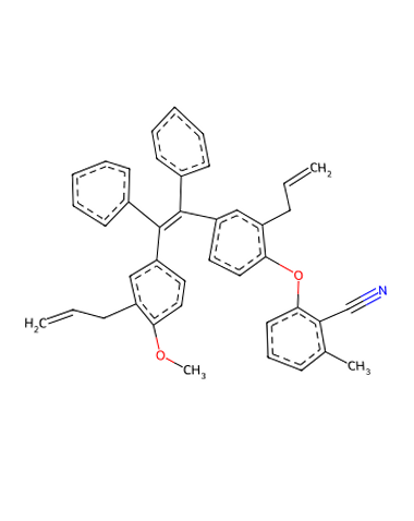 C=CCc1cc(/C(=C(/c2ccccc2)c2ccc(Oc3cccc(C)c3C#N)c(CC=C)c2)c2ccccc2)ccc1OC